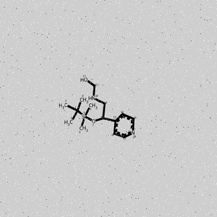 CC(C)(C)[Si](C)(C)OC(CNCO)c1ccncc1